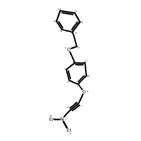 CCN(C#COc1ccc(OCc2ccccc2)cc1)CC